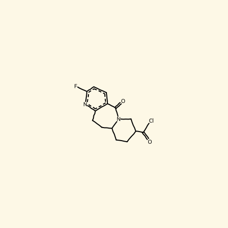 O=C(Cl)C1CCC2CCc3nc(F)ccc3C(=O)N2C1